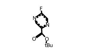 CC(C)(C)OC(=O)c1cnc(F)cn1